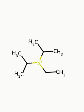 CC[S+](C(C)C)C(C)C